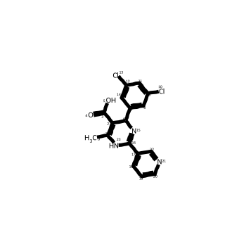 CC1=C(C(=O)O)C(c2cc(Cl)cc(Cl)c2)N=C(c2cccnc2)N1